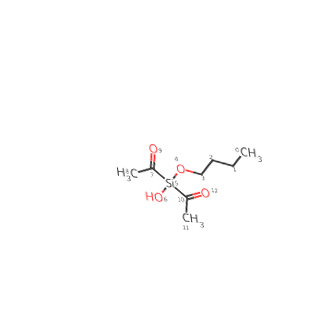 CCCCO[Si](O)(C(C)=O)C(C)=O